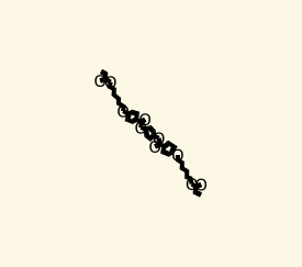 C=CC(=O)OCCCCCCOc1ccc(C(=O)Oc2ccc(OC(=O)c3ccc(OCCCCCCOC(=O)C=C)cc3)cc2)cc1